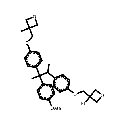 CCC1(COc2ccc(C(C)C(C)(c3ccc(OC)cc3)c3ccc(OCC4(C)COC4)cc3)cc2)COC1